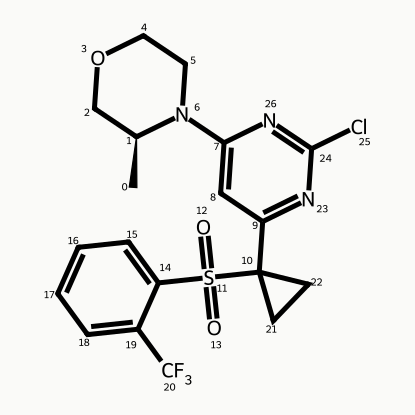 C[C@H]1COCCN1c1cc(C2(S(=O)(=O)c3ccccc3C(F)(F)F)CC2)nc(Cl)n1